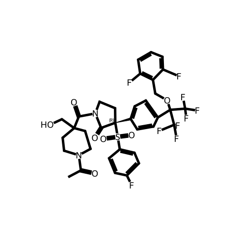 CC(=O)N1CCC(CO)(C(=O)N2CC[C@](c3ccc(C(OCc4c(F)cccc4F)(C(F)(F)F)C(F)(F)F)cc3)(S(=O)(=O)c3ccc(F)cc3)C2=O)CC1